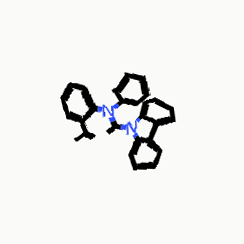 C=C(C)c1ccccc1N(c1ccccc1)C(C)n1c2ccccc2c2ccccc21